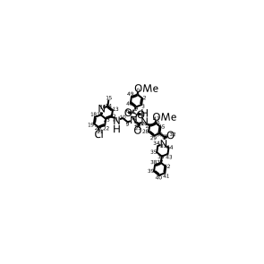 COc1ccc(S(=O)(=O)N(CCNc2cc(C)nc3ccc(Cl)cc23)C(=O)Nc2ccc(C(=O)N3CCC(c4ccccc4)CC3)cc2OC)cc1